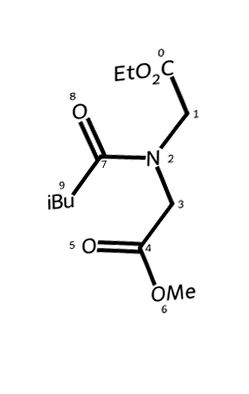 CCOC(=O)CN(CC(=O)OC)C(=O)C(C)CC